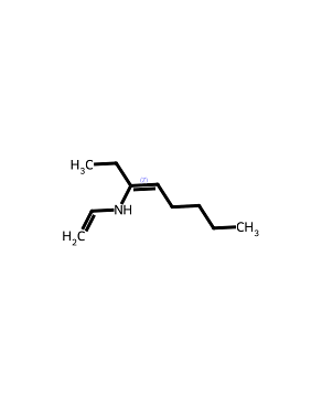 C=CN/C(=C\CCCC)CC